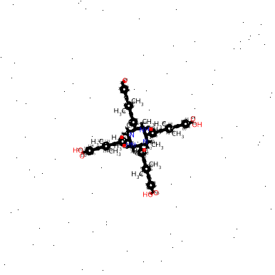 CCC1=C(CC)c2nc1c(-c1ccc(C#Cc3cc(C)c(C#Cc4ccc(C=O)cc4)cc3C)cc1)c1[nH]c(c(CC)c1CC)c(-c1ccc(C#Cc3cc(C)c(C#Cc4ccc(C(=O)O)cc4)cc3C)cc1)c1nc(c(-c3ccc(C#Cc4cc(C)c(C#Cc5ccc(C(=O)O)cc5)cc4C)cc3)c3[nH]c(c(CC)c3CC)c2-c2ccc(C#Cc3cc(C)c(C#Cc4ccc(C(=O)O)cc4)cc3C)cc2)C(CC)=C1CC